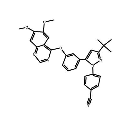 COc1cc2ncnc(Oc3cccc(-c4cc(C(C)(C)C)nn4-c4ccc(C#N)cc4)c3)c2cc1OC